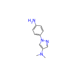 CN(C)c1cnn(-c2ccc(N)cc2)c1